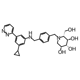 OC[C@@H]1[C@@H](O)[C@H](O)[C@@H](O)CN1Cc1ccc(CNc2cc(-c3cccnn3)cc(C3CC3)c2)cc1